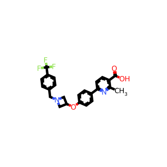 Cc1nc(-c2ccc(OC3CN(Cc4ccc(C(F)(F)F)cc4)C3)cc2)ccc1C(=O)O